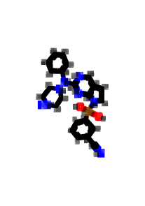 N#Cc1cccc(S(=O)(=O)n2ccc3cnc(N(c4ccccc4)N4CCNCC4)nc32)c1